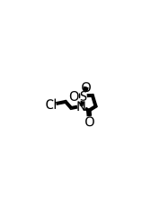 O=C1CCS(=O)(=O)N1CCCl